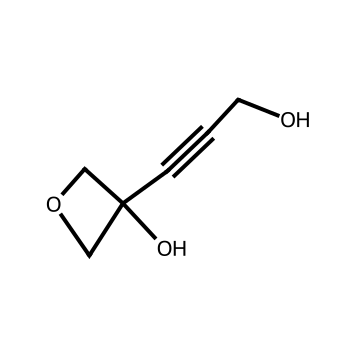 OCC#CC1(O)COC1